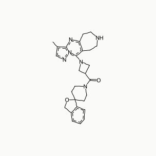 Cc1cnn2c(N3CC(C(=O)N4CCC5(CC4)OCc4ccccc45)C3)c3c(nc12)CCNCC3